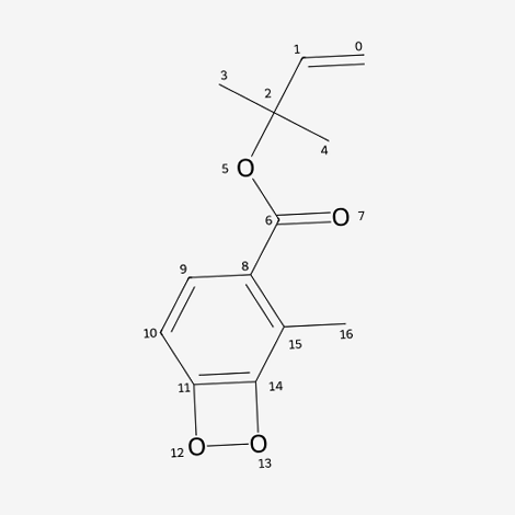 C=CC(C)(C)OC(=O)c1ccc2ooc2c1C